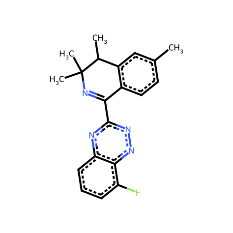 Cc1ccc2c(c1)C(C)C(C)(C)N=C2c1nnc2c(F)cccc2n1